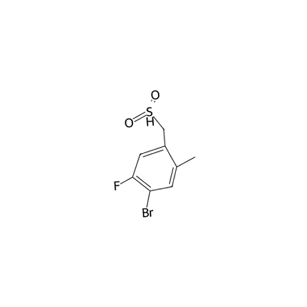 Cc1cc(Br)c(F)cc1C[SH](=O)=O